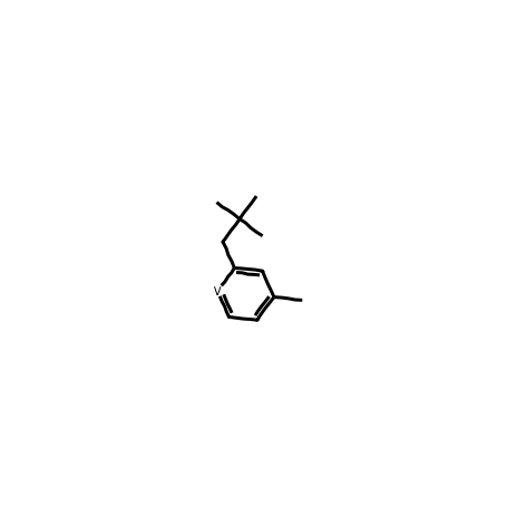 CC1=C[CH]=[V][C](CC(C)(C)C)=C1